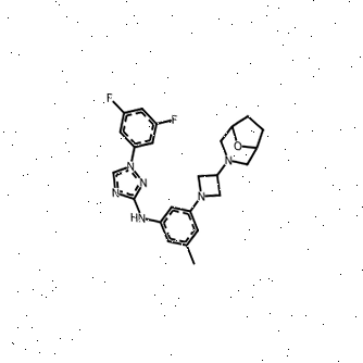 Cc1cc(Nc2ncn(-c3cc(F)cc(F)c3)n2)cc(N2CC(N3CC4CCC(C3)O4)C2)c1